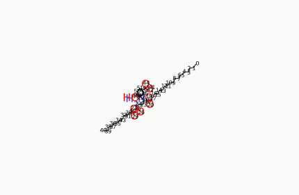 CCCCCCCCCCCCCCCCCCOC(=O)C(N)CCC(=O)OC(=O)CCCCCCCCCCC.COC(=O)c1ccc(O)cc1